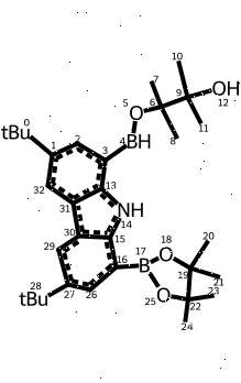 CC(C)(C)c1cc(BOC(C)(C)C(C)(C)O)c2[nH]c3c(B4OC(C)(C)C(C)(C)O4)cc(C(C)(C)C)cc3c2c1